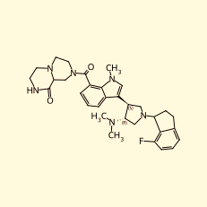 CN(C)[C@H]1CN(C2CCc3cccc(F)c32)C[C@@H]1c1cn(C)c2c(C(=O)N3CCN4CCNC(=O)C4C3)cccc12